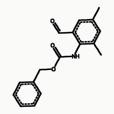 Cc1cc(C)c(NC(=O)OCc2ccccc2)c(C=O)c1